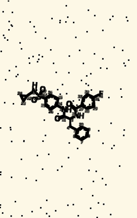 O=C(N[C@@H](Cc1ccccc1)C(=O)Nc1ccc(S(=O)(=O)NC2CC2)cc1)c1ccc(F)cc1